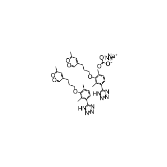 CC(=O)C=C(C=O)CCCOc1c(C)ccc(-c2nnn[nH]2)c1C.CC(=O)C=C(C=O)CCCOc1c(C)ccc(-c2nnn[nH]2)c1C.O=C([O-])[O-].[Na+].[Na+]